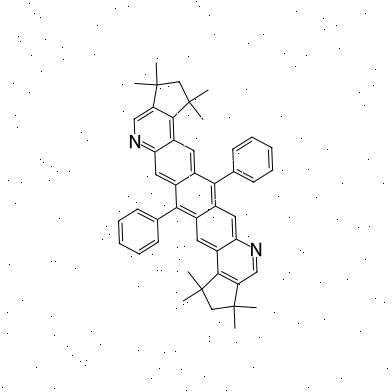 CC1(C)CC(C)(C)c2c1cnc1cc3c(-c4ccccc4)c4cc5c6c(cnc5cc4c(-c4ccccc4)c3cc21)C(C)(C)CC6(C)C